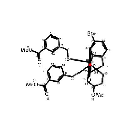 COC(=O)c1cccc(CSC2NC3(C(=O)N2Cc2cccc(C(=O)OC)c2)c2cc(Br)ccc2CC32CCC(OC)CC2)c1